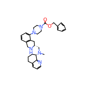 CN(C[C@H]1Cc2c(cccc2N2CCN(C(=O)OCc3ccccc3)CC2)CN1)[C@H]1CCCc2cccnc21